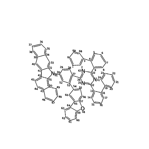 c1ccc(-c2ccccc2-c2nc(-c3ccccc3-c3ccccc3)nc(-c3ccc(-n4c5cc6ccccc6cc5c5ccc6ccccc6c54)cc3-c3ccc4oc5ccccc5c4c3)n2)cc1